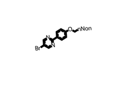 CCCCCCCCCCOc1ccc(-c2ncc(Br)cn2)cc1